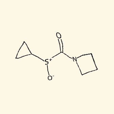 O=C(N1CCC1)[S+]([O-])C1CC1